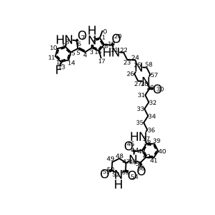 Cc1[nH]c(/C=C2\C(=O)Nc3ccc(F)cc32)c(C)c1C(=O)NCCCN1CCN(C(=O)CCCCCCNc2cccc3c2C(=O)N(C2CCC(=O)NC2=O)C3=O)CC1